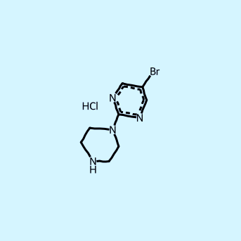 Brc1cnc(N2CCNCC2)nc1.Cl